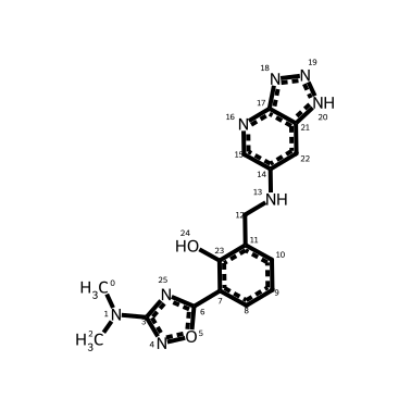 CN(C)c1noc(-c2cccc(CNc3cnc4nn[nH]c4c3)c2O)n1